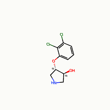 O[C@H]1CNC[C@@H]1Oc1cccc(Cl)c1Cl